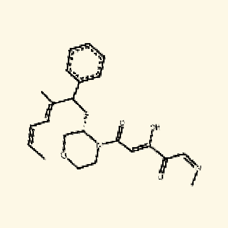 C/C=C\C=C(/C)C(C[C@H]1COCCN1C(=O)/C=C(\O)C(=O)/C=N\C)c1ccccc1